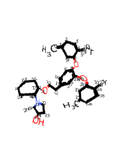 CC1CCC(C(C)C)C(Oc2ccc(CCO[C@H]3CCCC[C@@H]3N3CC[C@@H](O)C3)cc2OC2CC(C)CCC2C(C)C)C1